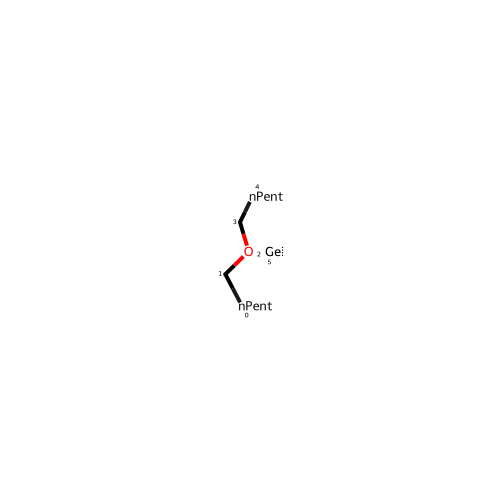 CCCCCCOCCCCCC.[Ge]